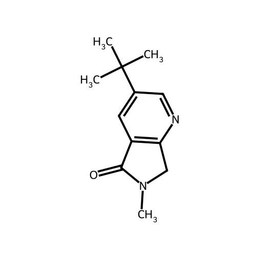 CN1Cc2ncc(C(C)(C)C)cc2C1=O